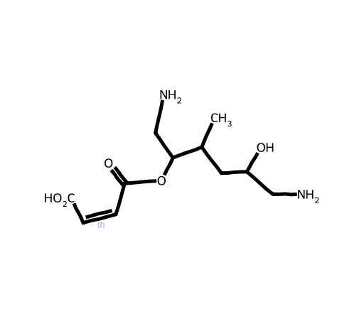 CC(CC(O)CN)C(CN)OC(=O)/C=C\C(=O)O